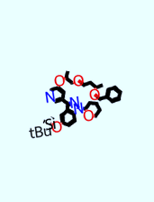 CC(CCOCC(C)Oc1cncc(-c2nn(C3CCCCO3)c3ccc(O[Si](C)(C)C(C)(C)C)cc23)c1)OCc1ccccc1